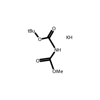 COC(=O)NC(=O)OC(C)(C)C.[KH]